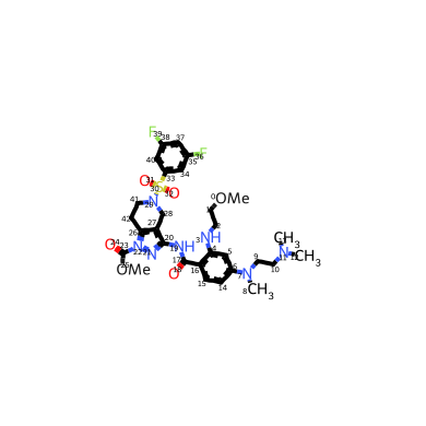 COCCNc1cc(N(C)CCN(C)C)ccc1C(=O)Nc1nn(C(=O)OC)c2c1CN(S(=O)(=O)c1cc(F)cc(F)c1)CC2